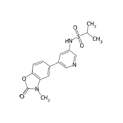 CC(C)S(=O)(=O)Nc1cncc(-c2ccc3oc(=O)n(C)c3c2)c1